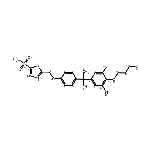 CC(C)(c1ccc(OCc2nnc(S(C)(=O)=O)o2)cc1)c1cc(Cl)c(OCCCCl)c(Cl)c1